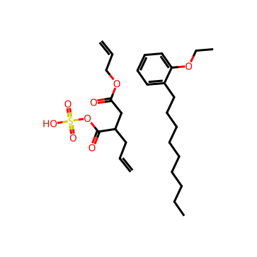 C=CCOC(=O)CC(CC=C)C(=O)OS(=O)(=O)O.CCCCCCCCCc1ccccc1OCC